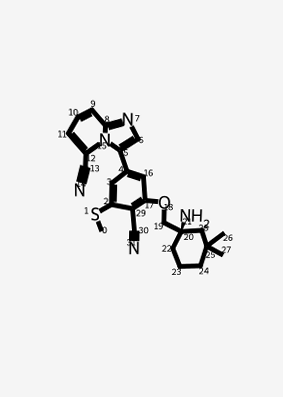 CSc1cc(-c2cnc3cccc(C#N)n23)cc(OC[C@@]2(N)CCCC(C)(C)C2)c1C#N